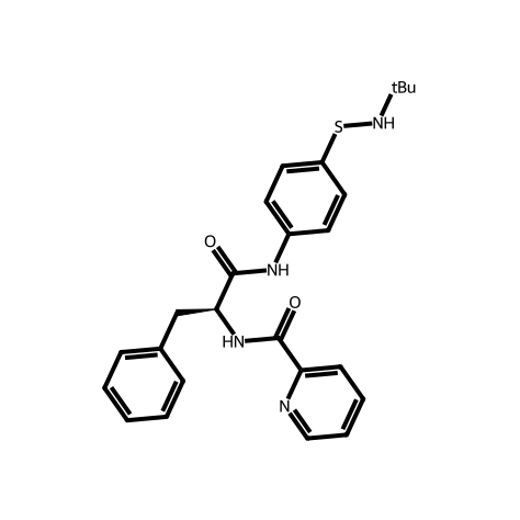 CC(C)(C)NSc1ccc(NC(=O)[C@H](Cc2ccccc2)NC(=O)c2ccccn2)cc1